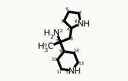 CC(N)(CC1CCCN1)C1CCNCC1